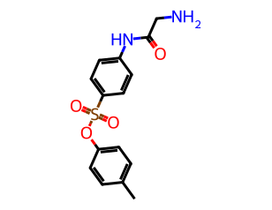 Cc1ccc(OS(=O)(=O)c2ccc(NC(=O)CN)cc2)cc1